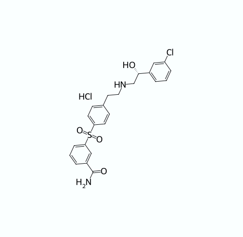 Cl.NC(=O)c1cccc(S(=O)(=O)c2ccc(CCNC[C@H](O)c3cccc(Cl)c3)cc2)c1